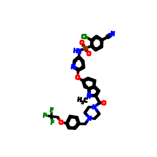 Cn1c(C(=O)N2CCN(Cc3ccc(OCC(F)(F)F)cc3)CC2)cc2ccc(Oc3ccc(NS(=O)(=O)c4ccc(C#N)cc4Cl)cn3)cc21